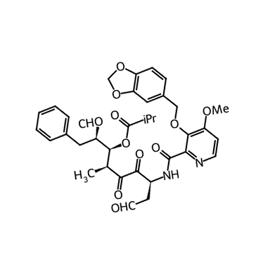 COc1ccnc(C(=O)N[C@@H](CC=O)C(=O)C(=O)[C@@H](C)[C@H](OC(=O)C(C)C)[C@H](C=O)Cc2ccccc2)c1OCc1ccc2c(c1)OCO2